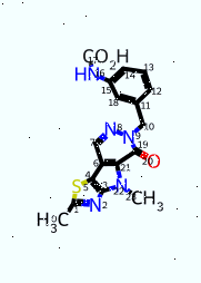 Cc1nc2c(s1)c1cnn(Cc3cccc(NC(=O)O)c3)c(=O)c1n2C